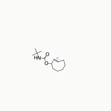 CC(C)(C)NC(=O)OC1/C=C/CCCCC1